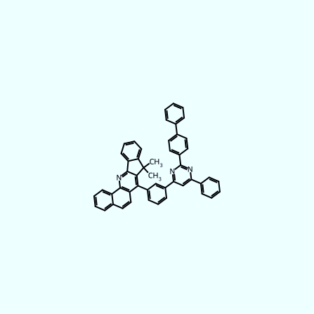 CC1(C)c2ccccc2-c2nc3c(ccc4ccccc43)c(-c3cccc(-c4cc(-c5ccccc5)nc(-c5ccc(-c6ccccc6)cc5)n4)c3)c21